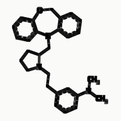 CN(C)c1cccc(CCN2CCCC2CN2c3ccccc3COc3ccccc32)c1